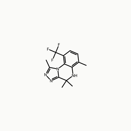 Cc1ccc(C(F)(F)F)c2c1NC(C)(C)c1nnc(C)n1-2